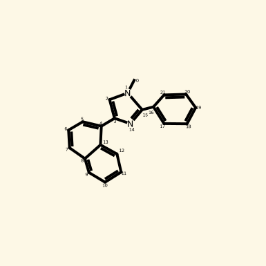 Cn1cc(-c2cccc3ccccc23)nc1-c1ccccc1